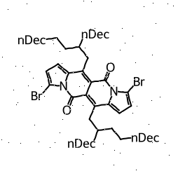 CCCCCCCCCCCCC(CCCCCCCCCC)Cc1c2c(=O)n3c(Br)ccc3c(CC(CCCCCCCCCC)CCCCCCCCCCCC)c2c(=O)n2c(Br)ccc12